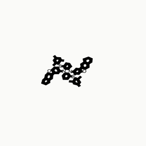 Cc1cc(C)c(B2c3cc4oc5cc6ccccc6cc5c4cc3N3c4cccc5c4N(c4cc6c(cc4B5c4c(C)cc(C)cc4C)oc4cc5ccccc5cc46)c4cccc2c43)c(C)c1